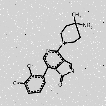 CC1(N)CCN(c2ncc(-c3cccc(Cl)c3Cl)c3c2C=NC3=O)CC1